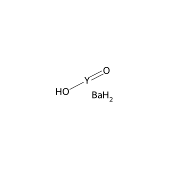 [BaH2].[O]=[Y][OH]